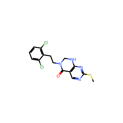 CSc1ncc2c(n1)NCN(CCc1c(Cl)cccc1Cl)C2=O